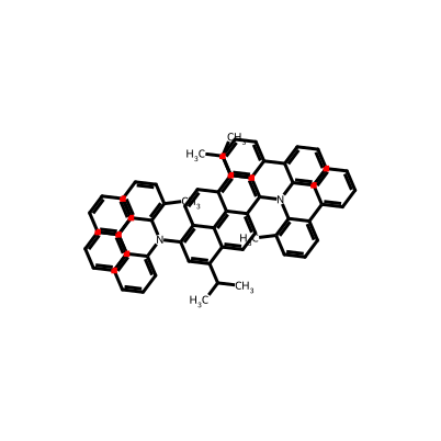 Cc1cccc(-c2ccccc2)c1N(c1ccccc1-c1ccccc1)c1cc(C(C)C)c2ccc3c(N(c4ccccc4-c4ccccc4)c4c(C)cccc4-c4ccccc4)cc(C(C)C)c4ccc1c2c43